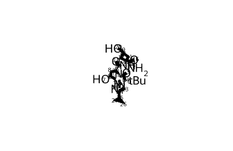 CC(C)(C)[C@@H](C(=O)N1C[C@H](O)C[C@H]1C(=O)NC1(C(N)=O)CC(CO)C1)n1cc(C2CC2)nn1